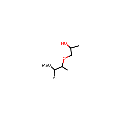 COC(C(C)=O)C(C)OCC(C)O